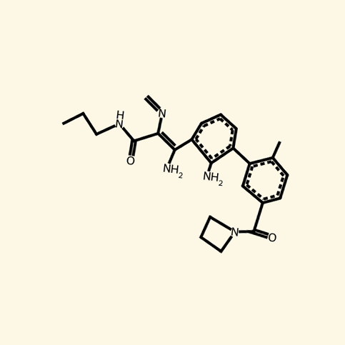 C=N/C(C(=O)NCCC)=C(/N)c1cccc(-c2cc(C(=O)N3CCC3)ccc2C)c1N